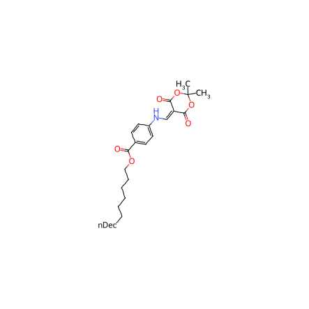 CCCCCCCCCCCCCCCCOC(=O)c1ccc(NC=C2C(=O)OC(C)(C)OC2=O)cc1